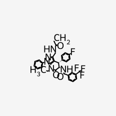 C=CC(=O)NCc1nn(-c2ccccc2)c2c1[C@H](c1ccc(F)cc1)[C@H](NC(=O)c1cccc(C(F)(F)F)c1)C(=O)N2CC